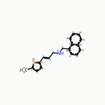 Cc1ccc(/C=C/CNCc2cccc3ccccc23)s1